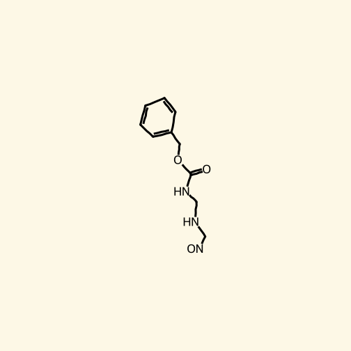 O=NCNCNC(=O)OCc1ccccc1